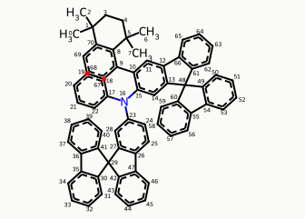 CC1(C)CCC(C)(C)c2c(-c3cc4c(cc3N(c3ccccc3)c3ccc5c(c3)C3(c6ccccc6-c6ccccc63)c3ccccc3-5)C3(c5ccccc5-c5ccccc53)c3ccccc3-4)cccc21